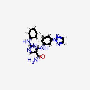 NC(=O)c1cnc(NC2CCCCC2)nc1Nc1cccc(-n2nccn2)c1